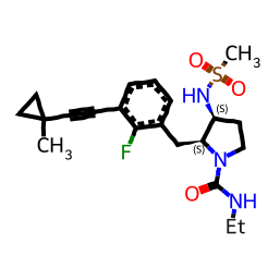 CCNC(=O)N1CC[C@H](NS(C)(=O)=O)[C@@H]1Cc1cccc(C#CC2(C)CC2)c1F